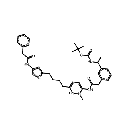 CC(NC(=O)OC(C)(C)C)c1cccc(CC(=O)NC2=CC=C(CCCCc3nnc(NC(=O)Cc4ccccc4)s3)NN2C)c1